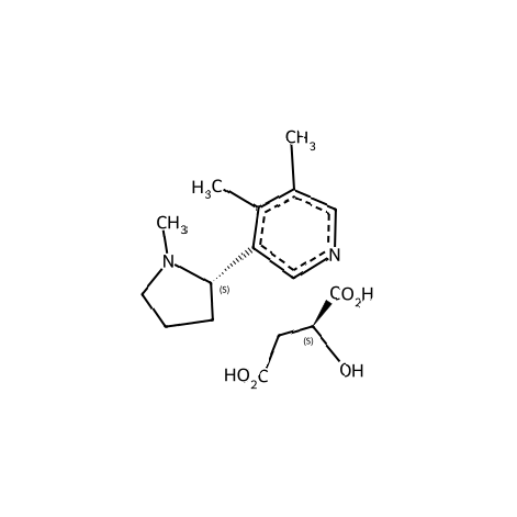 Cc1cncc([C@@H]2CCCN2C)c1C.O=C(O)C[C@H](O)C(=O)O